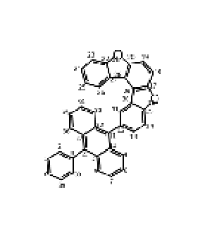 c1ccc(-c2c3ccccc3c(-c3ccc4oc5ccc6oc7ccccc7c6c5c4c3)c3ccccc23)cc1